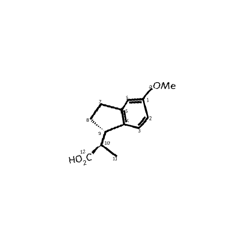 COc1ccc2c(c1)CC[C@H]2[C@@H](C)C(=O)O